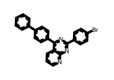 Brc1ccc(-c2nc(-c3ccc(-c4ccccc4)cc3)c3cccnc3n2)cc1